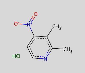 Cc1nccc([N+](=O)[O-])c1C.Cl